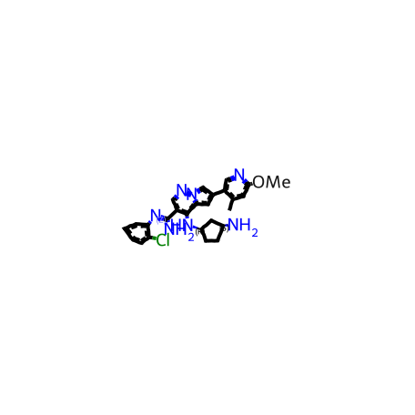 COc1cc(C)c(-c2cc3c(N[C@@H]4CC[C@H](N)C4)c(/C(N)=N/c4ccccc4Cl)cnn3c2)cn1